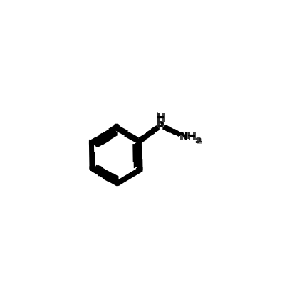 NPc1ccccc1